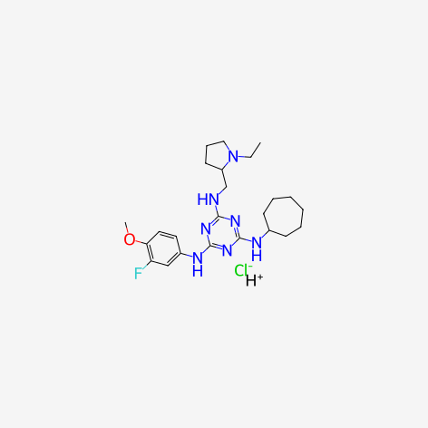 CCN1CCCC1CNc1nc(Nc2ccc(OC)c(F)c2)nc(NC2CCCCCC2)n1.[Cl-].[H+]